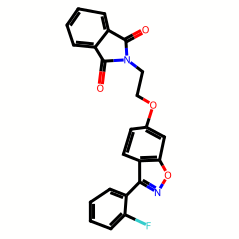 O=C1c2ccccc2C(=O)N1CCOc1ccc2c(-c3ccccc3F)noc2c1